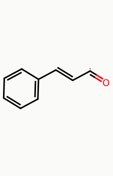 O=[C]C=Cc1ccccc1